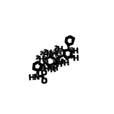 [2H]c1c([2H])c(-c2ccccc2)c([2H])c(C([2H])([2H])N2C([2H])([2H])C([2H])([2H])N(c3cccc4[nH]c(=O)oc34)C([2H])([2H])C2([2H])[2H])c1[2H]